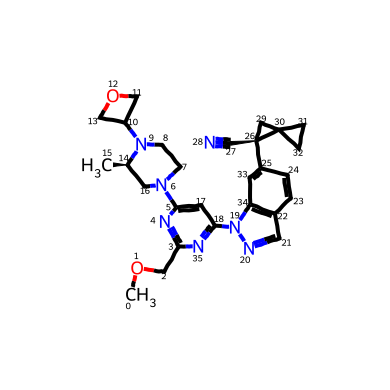 COCc1nc(N2CCN(C3COC3)[C@H](C)C2)cc(-n2ncc3ccc([C@]4(C#N)CC45CC5)cc32)n1